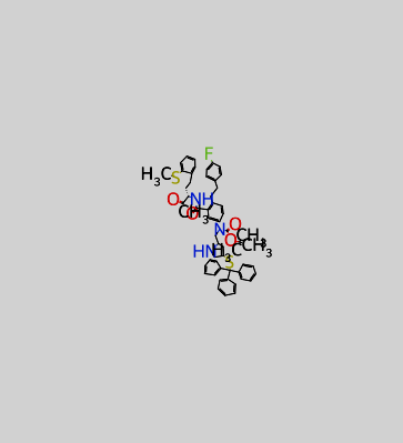 CSc1ccccc1CC[C@H](NC(=O)c1cc(N(CC2CC(SC(c3ccccc3)(c3ccccc3)c3ccccc3)CN2)C(=O)OC(C)(C)C)ccc1CCc1ccc(F)cc1)C(C)=O